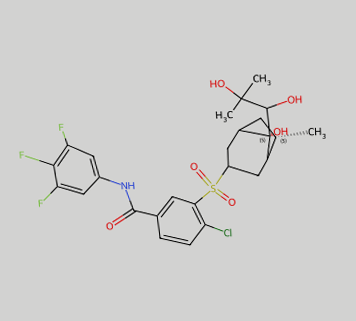 C[C@H]1CC2CC(S(=O)(=O)c3cc(C(=O)Nc4cc(F)c(F)c(F)c4)ccc3Cl)CC1[C@]2(O)C(O)C(C)(C)O